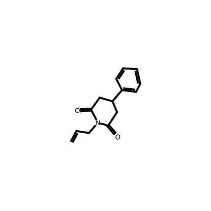 C=CCN1C(=O)CC(c2ccccc2)CC1=O